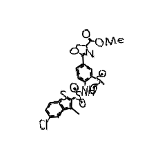 COC(=O)C1COC(c2ccc(NS(=O)(=O)c3sc4ccc(Cl)cc4c3C)c(S(C)(=O)=O)c2)=N1